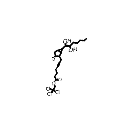 CCCCCC(O)C(O)C1C2CC(=O)C(CC#CCCCC(=O)OCC(Cl)(Cl)Cl)C21